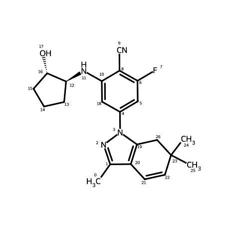 Cc1nn(-c2cc(F)c(C#N)c(N[C@H]3CCC[C@@H]3O)c2)c2c1C=CC(C)(C)C2